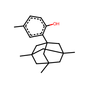 Cc1ccc(O)c(C23CC4(C)CC(C)(CC(C)(C4)C2)C3)c1